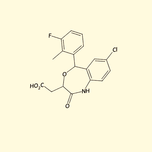 Cc1c(F)cccc1C1OC(CC(=O)O)C(=O)Nc2ccc(Cl)cc21